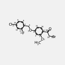 COc1cc(OCc2ccc(Cl)cc2F)ccc1C(=O)CBr